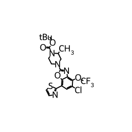 CC1CN(c2nc3c(OC(F)(F)F)c(Cl)cc(-c4nccs4)c3o2)CCN1C(=O)OC(C)(C)C